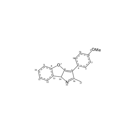 COc1ccc(C2=C3Oc4ccccc4C3N=C2C)cc1